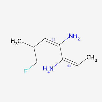 C/C=C(N)\C(N)=C/C(C)CF